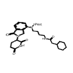 CCCCCN(CCCCNC(=O)CC1CCCCC1)c1cccc2c1CN(C1CCC(=O)NC1=O)C2=O